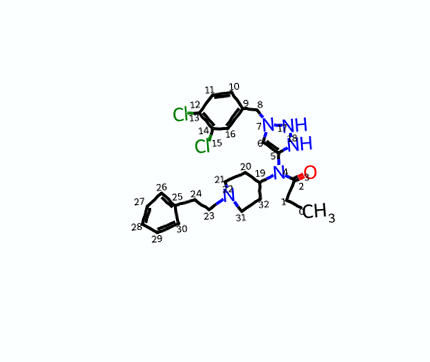 CCC(=O)N(C1=CN(Cc2ccc(Cl)c(Cl)c2)NN1)C1CCN(CCc2ccccc2)CC1